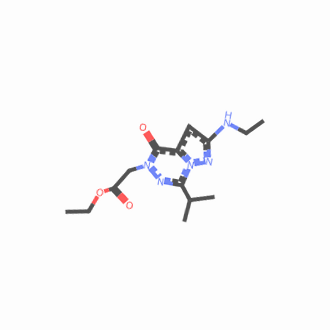 CCNc1cc2c(=O)n(CC(=O)OCC)nc(C(C)C)n2n1